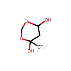 OC1CC(O)(C(F)(F)F)OCO1